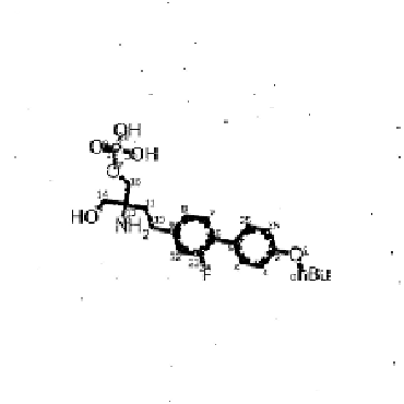 CCCCOc1ccc(-c2ccc(CCC(N)(CO)COP(=O)(O)O)cc2F)cc1